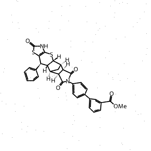 COC(=O)c1cccc(-c2ccc(N3C(=O)[C@@H]4[C@H]5C[C@@H]([C@@H]4C3=O)[C@@H]3[C@@H](c4ccccc4)c4sc(=O)[nH]c4S[C@H]53)cc2)c1